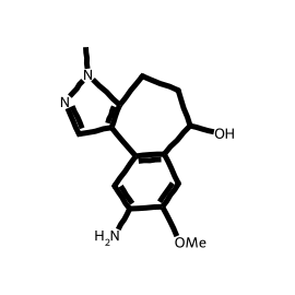 COc1cc2c(cc1N)-c1cnn(C)c1CCC2O